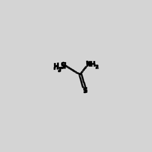 NC([SiH3])=S